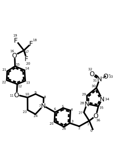 CC1(Cc2ccc(N3CCC(Oc4ccc(OC(F)(F)F)cc4)CC3)cc2)Cn2cc([N+](=O)[O-])nc2O1